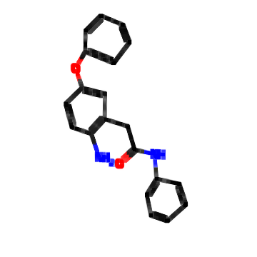 Nc1ccc(Oc2ccccc2)cc1CC(=O)Nc1ccccc1